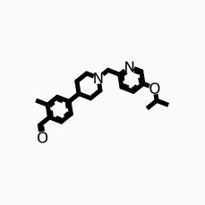 Cc1cc(C2CCN(Cc3ccc(OC(C)C)cn3)CC2)ccc1C=O